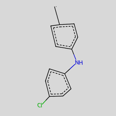 [CH2]c1ccc(Nc2ccc(Cl)cc2)cc1